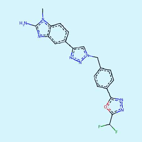 Cn1c(N)nc2cc(-c3cn(Cc4ccc(-c5nnc(C(F)F)o5)cc4)nn3)ccc21